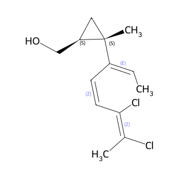 C\C=C(/C=C\C(Cl)=C(/C)Cl)[C@@]1(C)C[C@@H]1CO